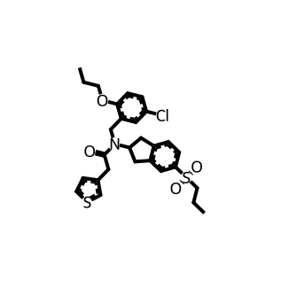 CCCOc1ccc(Cl)cc1CN(C(=O)Cc1ccsc1)C1Cc2ccc(S(=O)(=O)CCC)cc2C1